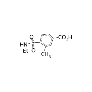 CCNS(=O)(=O)c1ccc(C(=O)O)cc1C